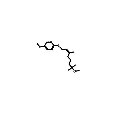 CCc1ccc(SCC=C(C)CCCC(C)(C)OC)cc1